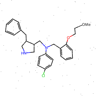 COCCOc1ccccc1CN(CC1CNCC1Cc1ccccc1)c1ccc(Cl)cc1